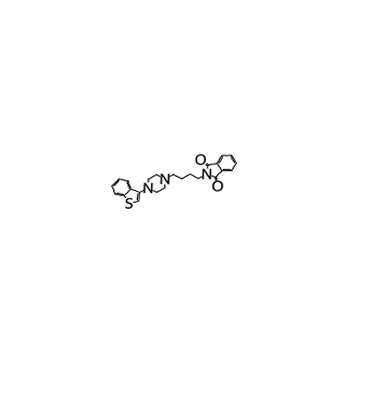 O=C1c2ccccc2C(=O)N1CCCCN1CCN(c2csc3ccccc23)CC1